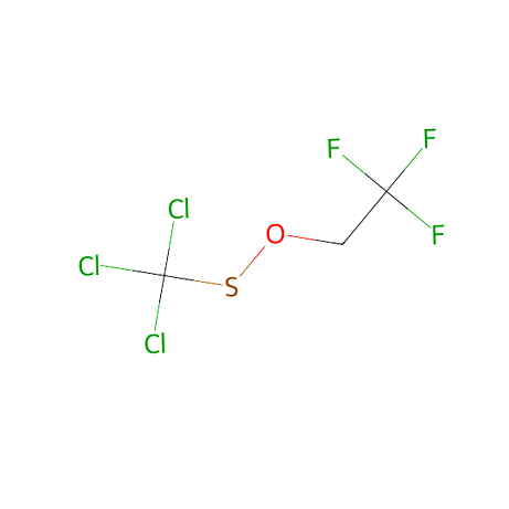 FC(F)(F)COSC(Cl)(Cl)Cl